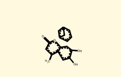 Cc1cc(=O)oc2cc(O)c(O)cc12.c1cc2cc(c1)C2